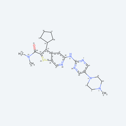 CN1CCN(c2cnc(Nc3cc4c(C5CCCC5)c(C(=O)N(C)C)sc4cn3)nc2)CC1